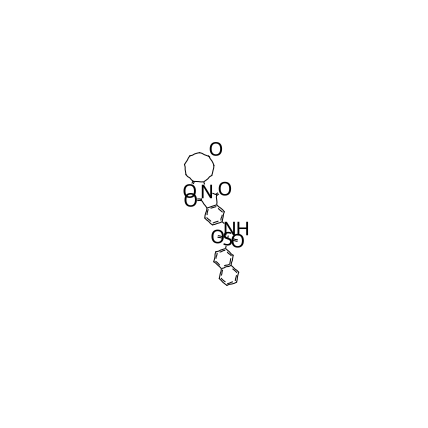 O=C1CCCCC(=O)C(N2C(=O)c3ccc(NS(=O)(=O)c4ccc5ccccc5c4)cc3C2=O)CC1